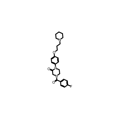 O=C(c1ccc(F)cc1)N1CCN(c2ccc(OCCCN3CCCCC3)cc2)C(=O)C1